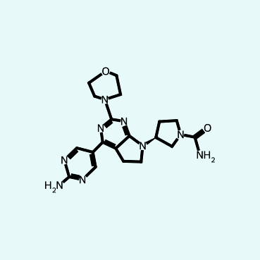 NC(=O)N1CC[C@H](N2CCc3c(-c4cnc(N)nc4)nc(N4CCOCC4)nc32)C1